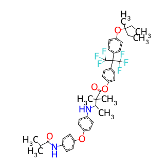 CCC(C)(CC)Oc1ccc(C(c2ccc(OC(=O)C(C)(C)C(C)Nc3ccc(Oc4ccc(NC(=O)C(C)C)cc4)cc3)cc2)(C(F)(F)F)C(F)(F)F)cc1